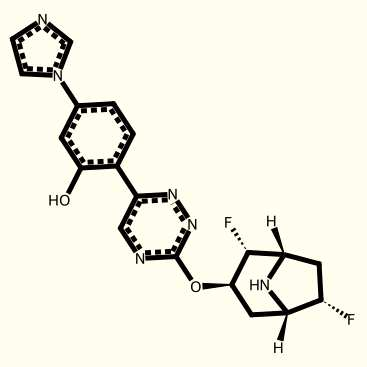 Oc1cc(-n2ccnc2)ccc1-c1cnc(O[C@@H]2C[C@@H]3N[C@@H](C[C@@H]3F)[C@H]2F)nn1